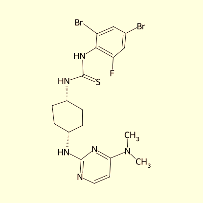 CN(C)c1ccnc(N[C@H]2CC[C@@H](NC(=S)Nc3c(F)cc(Br)cc3Br)CC2)n1